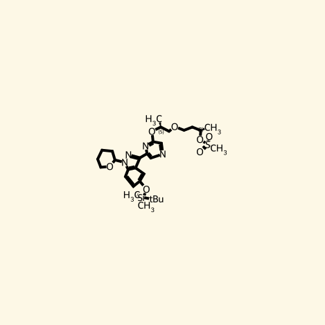 C[C@H](CCOC[C@H](C)Oc1cncc(-c2nn(C3CCCCO3)c3ccc(O[Si](C)(C)C(C)(C)C)cc23)n1)OS(C)(=O)=O